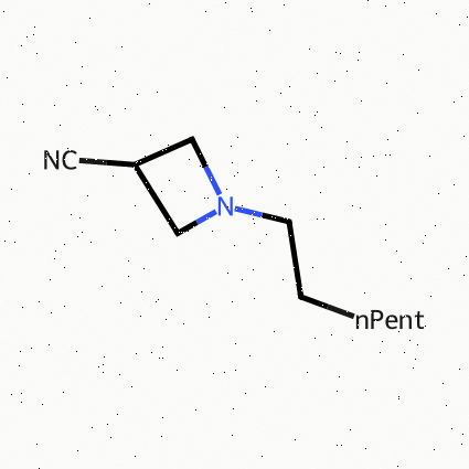 CCCCCCCN1CC(C#N)C1